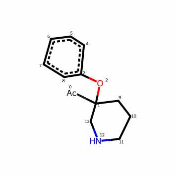 CC(=O)C1(Oc2ccccc2)CCCNC1